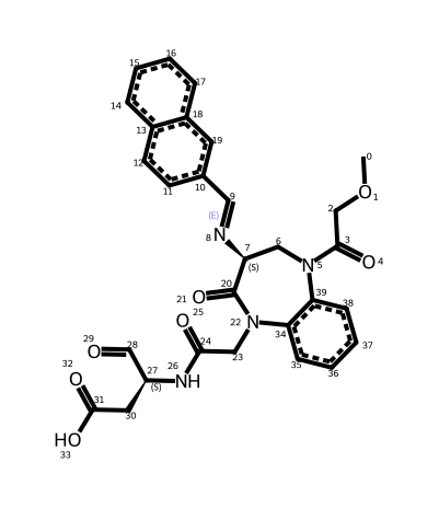 COCC(=O)N1C[C@H](/N=C/c2ccc3ccccc3c2)C(=O)N(CC(=O)N[C@H](C=O)CC(=O)O)c2ccccc21